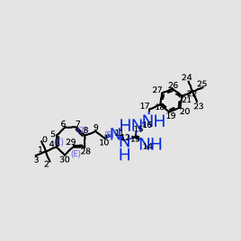 CC(C)(C)/C1=C/C/C=C(C/C=N/NC(=N)NNCc2ccc(C(C)(C)C)cc2)\C=C\C1